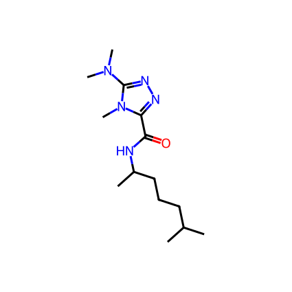 CC(C)CCCC(C)NC(=O)c1nnc(N(C)C)n1C